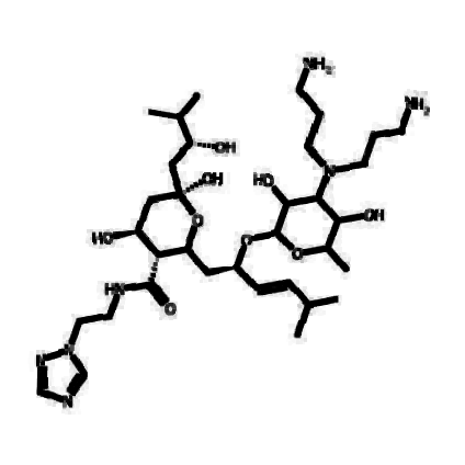 CC(C)/C=C/[C@@H](CC1O[C@](O)(C[C@@H](O)C(C)C)C[C@H](O)[C@H]1C(=O)NCCn1cncn1)OC1OC(C)C(O)C(N(CCCN)CCCN)C1O